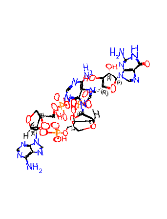 Nc1nc2c(ncn2[C@@H]2O[C@H](COP(=O)(O)OC3[C@@H]4OC[C@]3(COP(=O)(O)OC3[C@@H]5OC[C@]3(COP(=O)(O)O)O[C@H]5n3cnc5c(N)ncnc53)O[C@H]4n3cnc4c(N)ncnc43)C(O)[C@@H]2O)c(=O)[nH]1